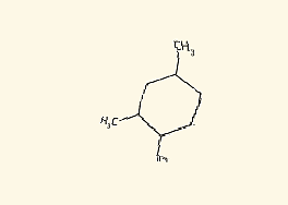 CC1C[CH]C(C(C)C)C(C)C1